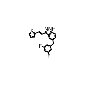 Fc1cc(F)cc(Cc2ccc3[nH]nc(/C=C/c4cccs4)c3c2)c1